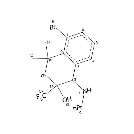 CCCNC1c2cccc(Br)c2C(C)(C)CC1(O)C(F)(F)F